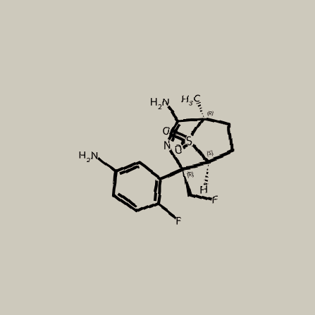 C[C@@]12CC[C@@H]([C@](CF)(c3cc(N)ccc3F)N=C1N)S2(=O)=O